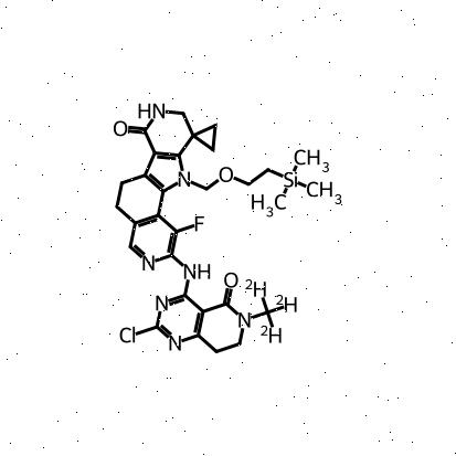 [2H]C([2H])([2H])N1CCc2nc(Cl)nc(Nc3ncc4c(c3F)-c3c(c5c(n3COCC[Si](C)(C)C)C3(CC3)CNC5=O)CC4)c2C1=O